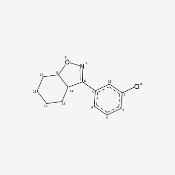 Clc1cccc(C2=NOC3CCCCC23)c1